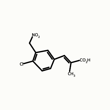 CC(=Cc1ccc(Cl)c(C[N+](=O)[O-])c1)C(=O)O